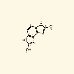 Oc1cc2c(ccc3oc(Cl)cc32)o1